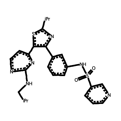 CC(C)CNc1nccc(-c2sc(C(C)C)nc2-c2cccc(NS(=O)(=O)c3cccnc3)c2)n1